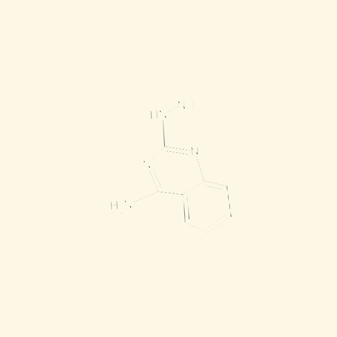 NNc1nc(N)c2ccccc2n1